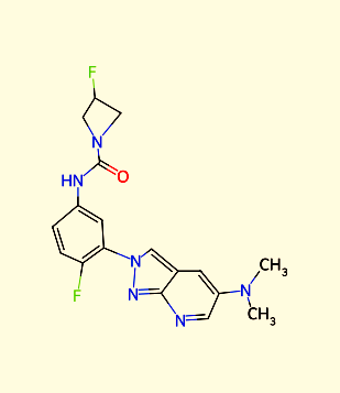 CN(C)c1cnc2nn(-c3cc(NC(=O)N4CC(F)C4)ccc3F)cc2c1